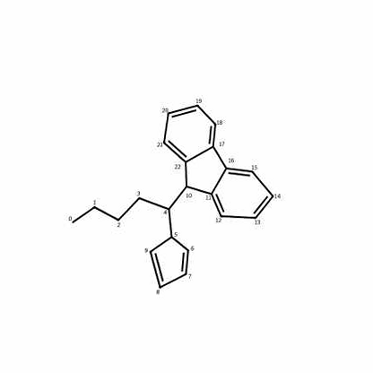 CCCCC(C1C=CC=C1)C1c2ccccc2-c2ccccc21